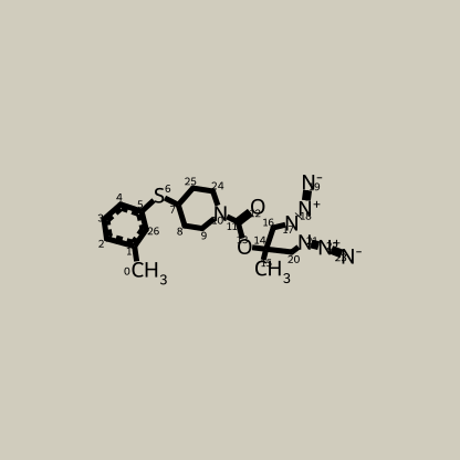 Cc1cccc(SC2CCN(C(=O)OC(C)(CN=[N+]=[N-])CN=[N+]=[N-])CC2)c1